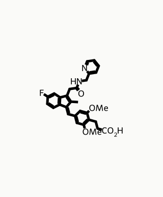 COc1cc(C=C2C(C)=C(CC(=O)NCc3ccccn3)c3cc(F)ccc32)cc(OC)c1CCC(=O)O